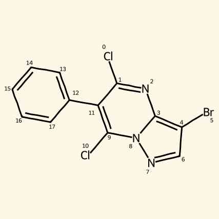 Clc1nc2c(Br)cnn2c(Cl)c1-c1ccccc1